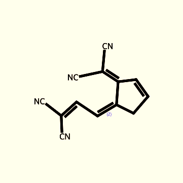 N#CC(C#N)=C/C=C1/CC=CC1=C(C#N)C#N